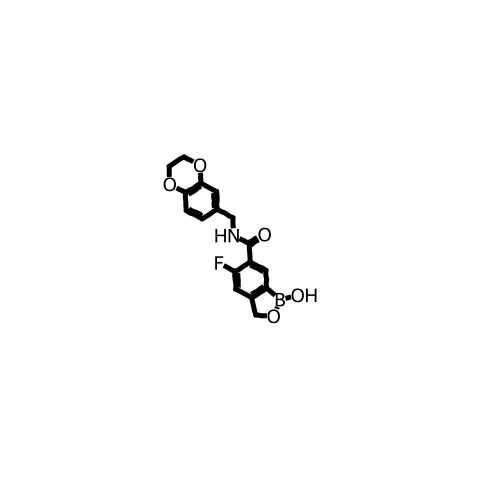 O=C(NCc1ccc2c(c1)OCCO2)c1cc2c(cc1F)COB2O